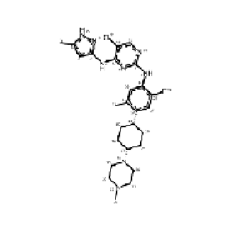 Cc1cc(Nc2nc(Nc3cc(C)c([C@H]4CC[C@@H](N5CCN(C)CC5)CC4)cc3F)ncc2Cl)n[nH]1